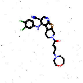 N#Cc1cnc2sc3c(c2c1Nc1ccc(Cl)c(Cl)c1)CCN(C(=O)/C=C/CN1CCCOCC1)C3